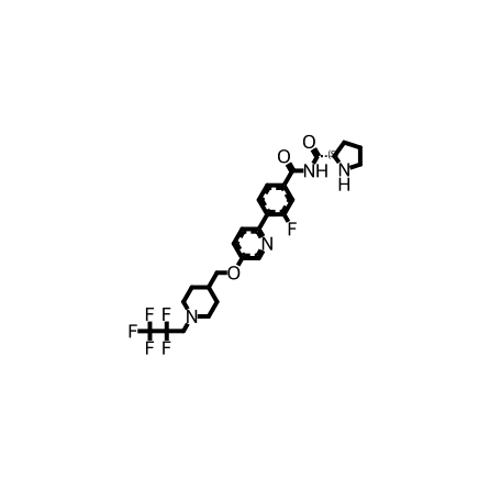 O=C(NC(=O)[C@@H]1CCCN1)c1ccc(-c2ccc(OCC3CCN(CC(F)(F)C(F)(F)F)CC3)cn2)c(F)c1